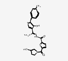 CC(=NNC(=O)c1ccc(C(=O)N2CCC(O)C2)s1)c1csc(-c2ccc(C(F)(F)F)cc2)c1O